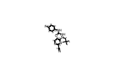 CC(C)(C)CN(NC(=O)Nc1ccc(F)cc1)c1ccnc(C#N)n1